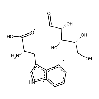 N[C@@H](Cc1c[nH]c2ccccc12)C(=O)O.O=C[C@H](O)[C@@H](O)[C@H](O)CO